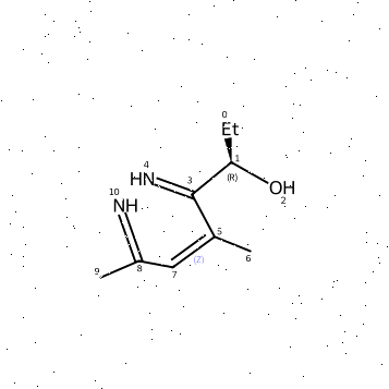 CC[C@@H](O)C(=N)/C(C)=C\C(C)=N